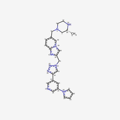 C[C@@H]1CN(Cc2ccc3nc(Cn4cc(-c5cncc(-n6cccc6)c5)nn4)cn3c2)CCN1